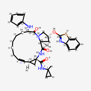 CC1(NC(=O)[C@@]23C[C@H]2/C=C\CCCCC[C@H](Nc2ccccc2)C(=O)N2C[C@H](Oc4nc5ccccc5s4)C[C@H]2C(=O)N3)CC1